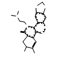 COC1=Cc2c(c(=O)n(CCN(C)C)c3c2nnc2cc4c(cc23)OCO4)CC1OC